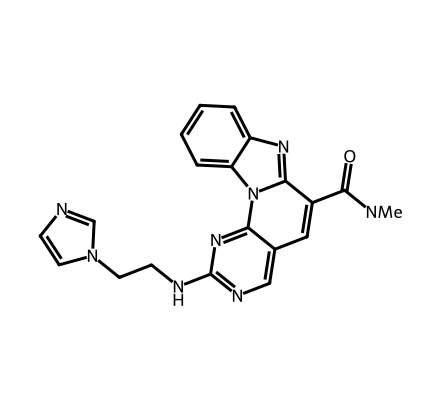 CNC(=O)c1cc2cnc(NCCn3ccnc3)nc2n2c1nc1ccccc12